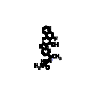 C/C(=N/NC(N)=O)c1ccc2ncc(C(O)c3c(F)cc4ncccc4c3F)n2n1